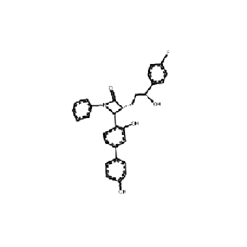 O=C1[C@H](CC[C@H](O)c2ccc(F)cc2)[C@@H](c2ccc(-c3ccc(O)cc3)cc2O)N1c1ccccc1